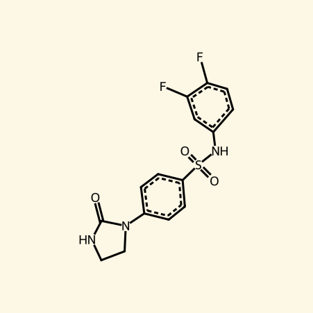 O=C1NCCN1c1ccc(S(=O)(=O)Nc2ccc(F)c(F)c2)cc1